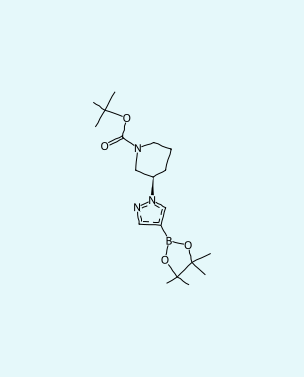 CC(C)(C)OC(=O)N1CCC[C@@H](n2cc(B3OC(C)(C)C(C)(C)O3)cn2)C1